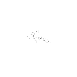 COc1ccc2c(c1)CC(N(C)C(=O)CNCC(=O)N(CCNC(C)C)c1cc(C#N)ccc1C)C2.Cl